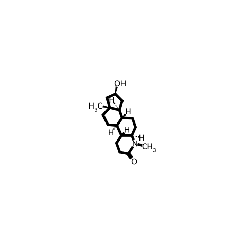 CN1C(=O)CC[C@@H]2[C@H]3CC[C@]4(C)C[C@@H](O)C[C@H]4[C@@H]3CC[C@H]21